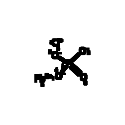 O=P([O-])([O-])[O-].[Cl+].[Pb+2]